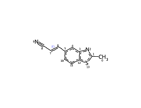 Cc1nc2cc(/C=C/C#N)ccc2s1